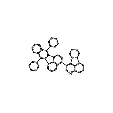 c1ccc(-c2c3c(c(-c4ccccc4)c4ccccc24)-c2ccc(-c4cnc5cccc6c5c4-c4ccccc4-6)c4cccc-3c24)cc1